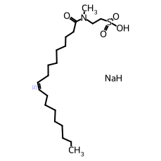 CCCCCCCC/C=C\CCCCCCCC(=O)N(C)CCS(=O)(=O)O.[NaH]